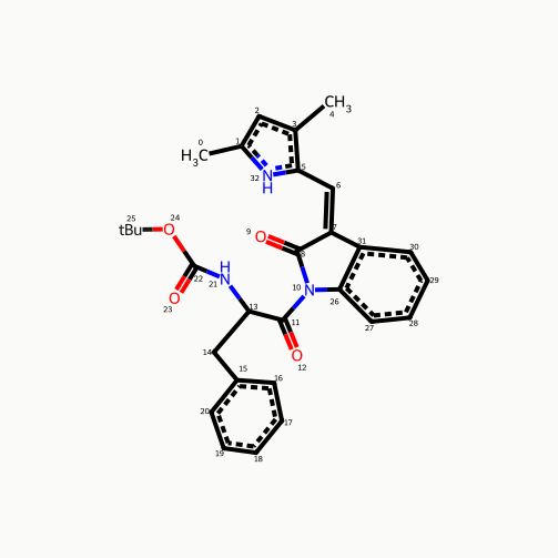 Cc1cc(C)c(/C=C2\C(=O)N(C(=O)C(Cc3ccccc3)NC(=O)OC(C)(C)C)c3ccccc32)[nH]1